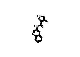 Cc1c[nH]nc1C(=O)Nc1cnc2ccccc2c1